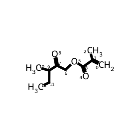 C=C(C)C(=O)OCC(=O)C(C)CC